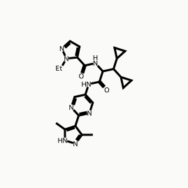 CCn1nccc1C(=O)NC(C(=O)Nc1cnc(-c2c(C)n[nH]c2C)nc1)C(C1CC1)C1CC1